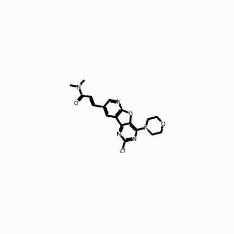 CN(C)C(=O)C=Cc1cnc2oc3c(N4CCOCC4)nc(Cl)nc3c2c1